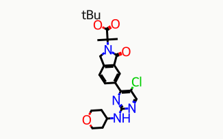 CC(C)(C)OC(=O)C(C)(C)N1Cc2ccc(-c3nc(NC4CCOCC4)ncc3Cl)cc2C1=O